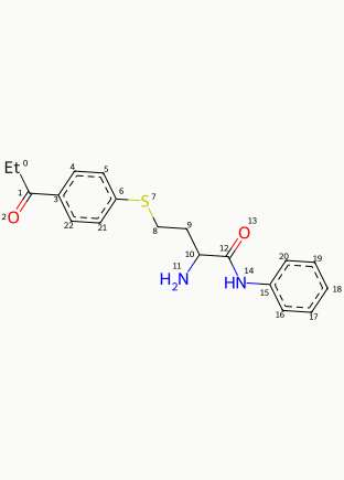 CCC(=O)c1ccc(SCCC(N)C(=O)Nc2ccccc2)cc1